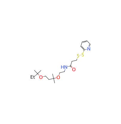 CCC(C)(C)OCCC(C)(C)OCCNC(=O)CCSSc1ccccn1